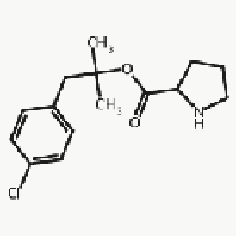 CC(C)(Cc1ccc(Cl)cc1)OC(=O)C1CCCN1